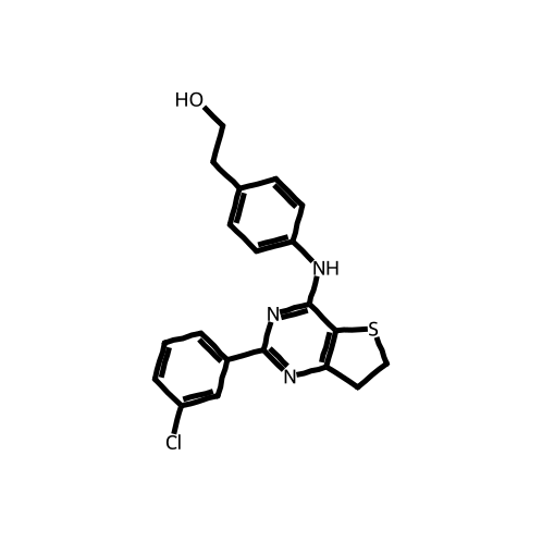 OCCc1ccc(Nc2nc(-c3cccc(Cl)c3)nc3c2SCC3)cc1